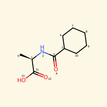 C[C@@H](NC(=O)C1CCCCC1)C(=O)O